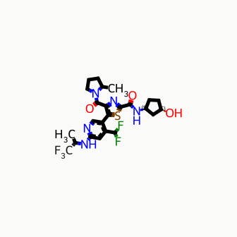 CC1CCCN1C(=O)c1nc(C(=O)N[C@H]2CC[C@H](O)C2)sc1-c1cnc(NC(C)C(F)(F)F)cc1C(F)F